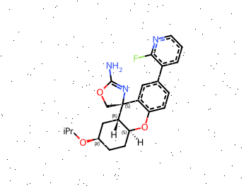 CC(C)O[C@@H]1CC[C@@H]2Oc3ccc(-c4cccnc4F)cc3[C@]3(COC(N)=N3)[C@H]2C1